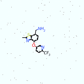 Cc1nc2c(Oc3ccc(C(F)(F)F)nc3)ccc(CN)c2s1